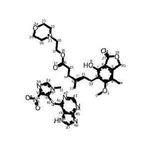 COc1c(C)c2c(c(O)c1C/C=C(\C)CCC(=O)OCCN1CCOCC1)C(=O)OC2.Cn1cnc([N+](=O)[O-])c1Sc1ncnc2nc[nH]c12